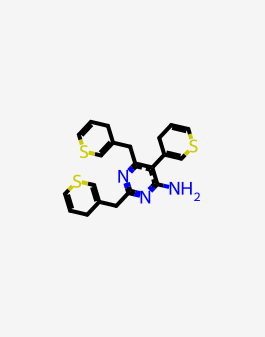 Nc1nc(CC2=CSC=CC2)nc(CC2=CSC=CC2)c1C1=CSC=CC1